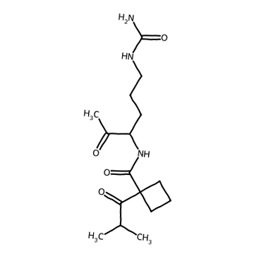 CC(=O)C(CCCNC(N)=O)NC(=O)C1(C(=O)C(C)C)CCC1